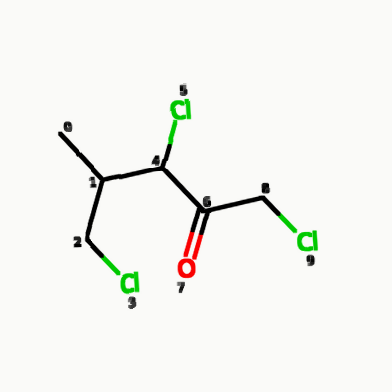 CC(CCl)C(Cl)C(=O)CCl